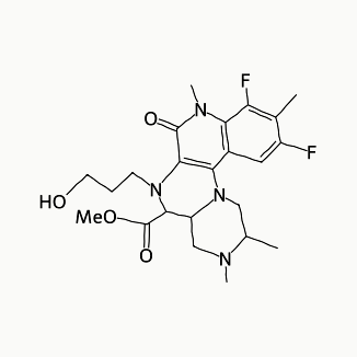 COC(=O)C1C2CN(C)C(C)CN2c2c(c(=O)n(C)c3c(F)c(C)c(F)cc23)N1CCCO